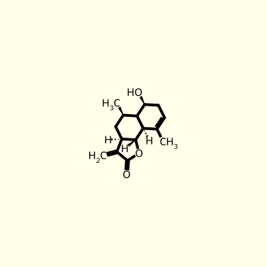 C=C1C(=O)O[C@@H]2[C@@H]1C[C@@H](C)C1[C@H]2C(C)=CC[C@@H]1O